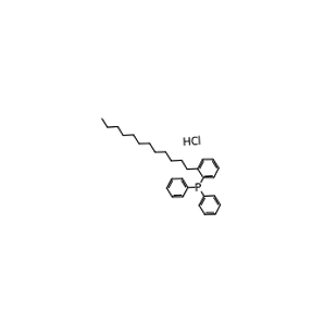 CCCCCCCCCCCCc1ccccc1P(c1ccccc1)c1ccccc1.Cl